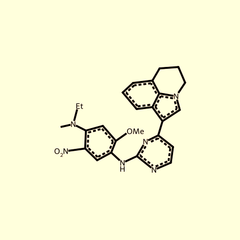 [CH2]CN(C)c1cc(OC)c(Nc2nccc(-c3cn4c5c(cccc35)CCC4)n2)cc1[N+](=O)[O-]